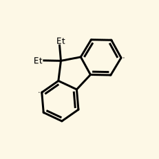 CCC1(CC)c2[c]cccc2-c2c[c]ccc21